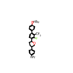 CCCCOc1ccc(-c2ccc(C3CCC(c4ccc(CCC)cc4)CO3)c(F)c2C(F)(F)F)cc1